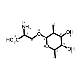 CC1C(O)[C@@H](O)C(C)O[C@H]1OCC(N)C(=O)O